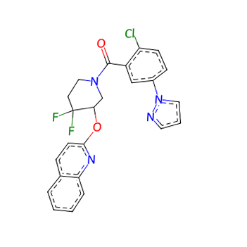 O=C(c1cc(-n2cccn2)ccc1Cl)N1CCC(F)(F)C(Oc2ccc3ccccc3n2)C1